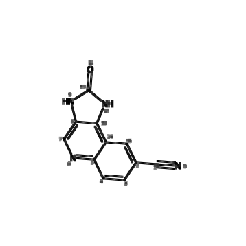 N#Cc1ccc2ncc3[nH]c(=O)[nH]c3c2c1